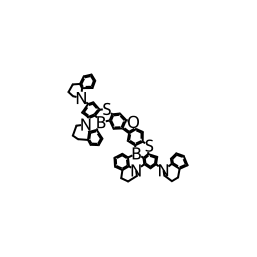 c1ccc2c(c1)CCCN2c1cc2c3c(c1)N1CCCc4cccc(c41)B3c1cc3c(cc1S2)oc1cc2c(cc13)B1c3cccc4c3N(CCC4)c3cc(N4CCCc5ccccc54)cc(c31)S2